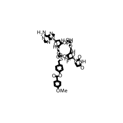 COc1ccc(C(=O)Oc2ccc(CSP3(=O)OC[C@H]4O[C@@H](n5cnc6c(N)ncnc65)C[C@@H]4OP(=O)(O)OC[C@H]4O[C@@H](n5ccc(=O)[nH]c5=O)[C@H](F)[C@@H]4O3)cc2)cc1